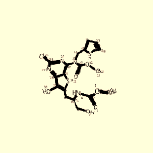 CC(C)(C)OC(=O)N[C@@H](CO)Cc1sc2c(N(Cc3cccs3)C(=O)OC(C)(C)C)nc(Cl)nc2c1O